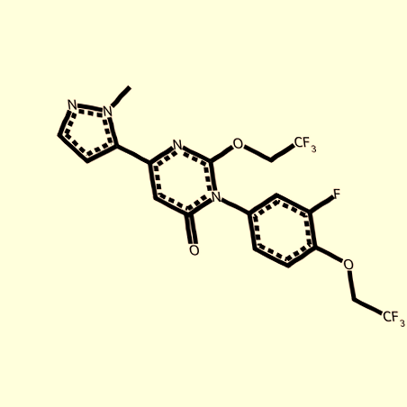 Cn1nccc1-c1cc(=O)n(-c2ccc(OCC(F)(F)F)c(F)c2)c(OCC(F)(F)F)n1